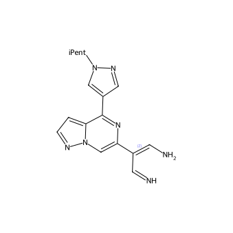 CCCC(C)n1cc(-c2nc(/C(C=N)=C/N)cn3nccc23)cn1